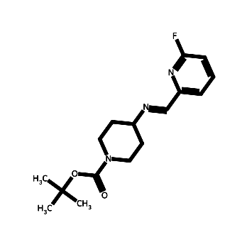 CC(C)(C)OC(=O)N1CCC(/N=C/c2cccc(F)n2)CC1